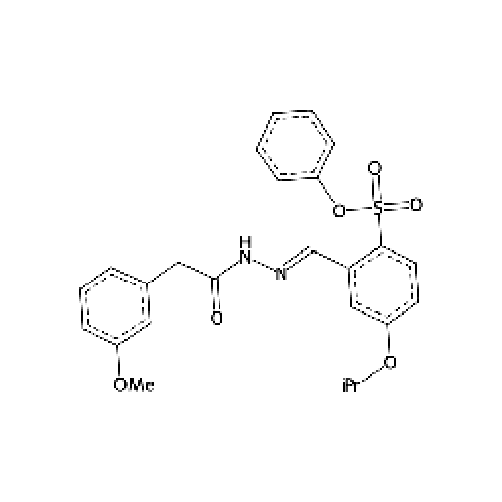 COc1cccc(CC(=O)NN=Cc2cc(OC(C)C)ccc2S(=O)(=O)Oc2ccccc2)c1